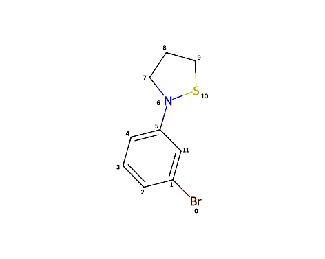 Brc1cccc(N2CCCS2)c1